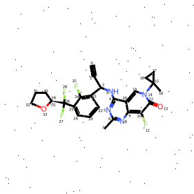 C#CC(Nc1nc(C)nc2c(F)c(=O)n(C3(C)CC3)cc12)c1cccc(C(F)(F)[C@@H]2CCCO2)c1F